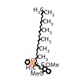 COc1c(C)c(C/C=C(\C)C(C/C=C(\C)CC/C=C(\C)CC/C=C(\C)CC/C=C(\C)CC/C=C(\C)CCC=C(C)C)S(=O)(=O)c2ccccc2)c(OC)c2ccccc12